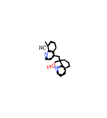 C[C@@]1(C#N)CCCc2c(CC3(CO)CCCc4cccnc43)ccnc21